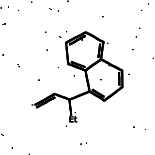 [CH]=CC(CC)c1cccc2ccccc12